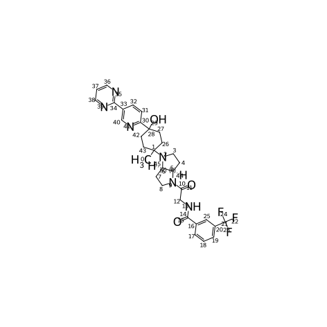 CC1(N2CC[C@@H]3[C@H]2CCN3C(=O)CNC(=O)c2cccc(C(F)(F)F)c2)CCC(O)(c2ccc(-c3ncccn3)cn2)CC1